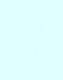 COc1ccc(CN2CCN(C(=O)C(CC(C)C)NC(=O)O)CC2)c(OC)c1OC